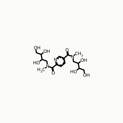 CN(CC(O)C(O)CO)C(=O)c1ccc(C(=O)N(C)CC(O)C(O)CO)nc1